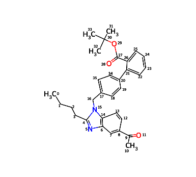 CCCCc1nc2cc(C(C)=O)ccc2n1Cc1ccc(-c2ccccc2C(=O)OC(C)(C)C)cc1